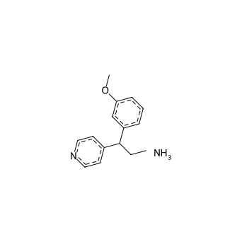 CCC(c1ccncc1)c1cccc(OC)c1.N